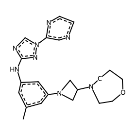 Cc1cc(Nc2ncn(-c3cnccn3)n2)cc(N2CC(N3CCCOCC3)C2)c1